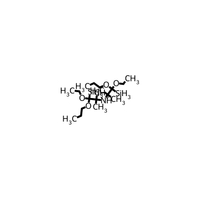 CCCOC([SiH3])(OCC)C(C)(C)NC(C)(C)C([SiH3])(OCC)OCCC